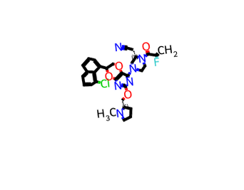 C=C(F)C(=O)N1CCN(c2nc(OC[C@@H]3CCCN3C)nc3c2OCC(c2cccc4cccc(Cl)c24)O3)C[C@@H]1CC#N